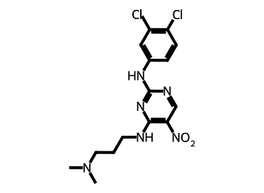 CN(C)CCCNc1nc(Nc2ccc(Cl)c(Cl)c2)ncc1[N+](=O)[O-]